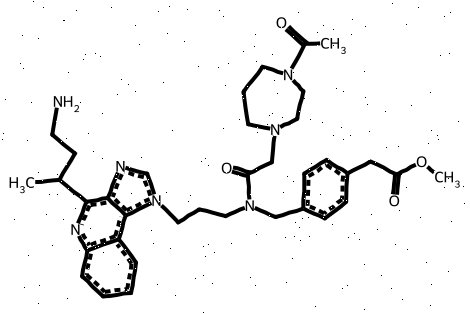 COC(=O)Cc1ccc(CN(CCCn2cnc3c(C(C)CCN)nc4ccccc4c32)C(=O)CN2CCCN(C(C)=O)CC2)cc1